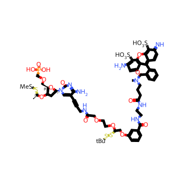 CSS[C@@H](C)OC1C[C@H](n2cc(C#CCNC(=O)COCCOC(COc3cccc(C(=O)NCCNC(=O)CCCN(C)C(=O)c4ccccc4-c4c5ccc(=N)c(S(=O)(=O)O)c-5oc5c(S(=O)(=O)O)c(N)ccc45)c3)SSC(C)(C)C)c(N)nc2=O)O[C@@H]1COCP(=O)(O)O